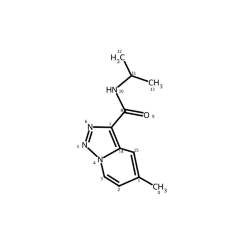 Cc1ccn2nnc(C(=O)NC(C)C)c2c1